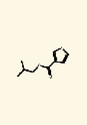 CC(C)COC(=O)c1c[c]sc1